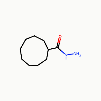 NNC(=O)C1CCCCCCCC1